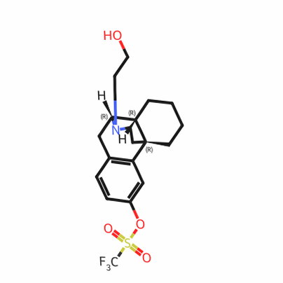 O=S(=O)(Oc1ccc2c(c1)[C@@]13CCCC[C@H]1[C@@H](C2)N(CCO)CC3)C(F)(F)F